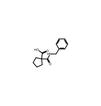 O=C(O)C1(C(=O)NCc2ccccc2)CCCC1